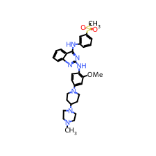 COc1cc(N2CCC(N3CCN(C)CC3)CC2)ccc1Nc1nc(Nc2cccc(S(C)(=O)=O)c2)c2ccccc2n1